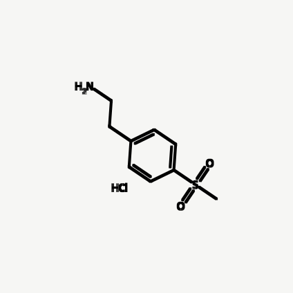 CS(=O)(=O)c1ccc(CCN)cc1.Cl